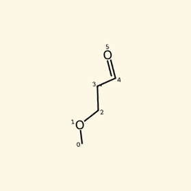 COC[CH]C=O